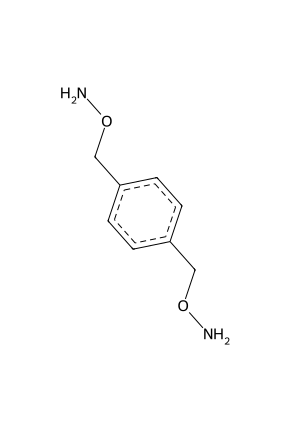 NOCc1ccc(CON)cc1